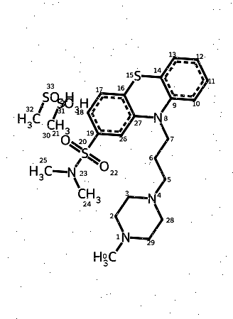 CN1CCN(CCCN2c3ccccc3Sc3ccc(S(=O)(=O)N(C)C)cc32)CC1.CS(=O)(=O)O.CS(=O)(=O)O